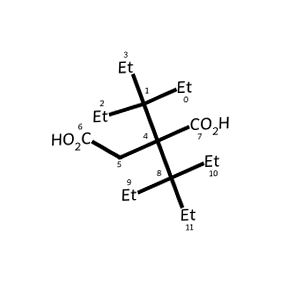 CCC(CC)(CC)C(CC(=O)O)(C(=O)O)C(CC)(CC)CC